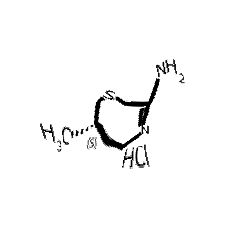 C[C@H]1CN=C(N)S1.Cl